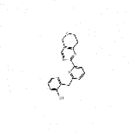 Cc1ccccc1Cc1cccc(-c2ncc3c(n2)CCOC3)n1